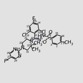 Cc1ccc(S(=O)(=O)N/N=C(\c2c(Cl)cc(F)cc2Cl)N2CCN(c3ncc(F)cn3)CC2(C)C)cc1